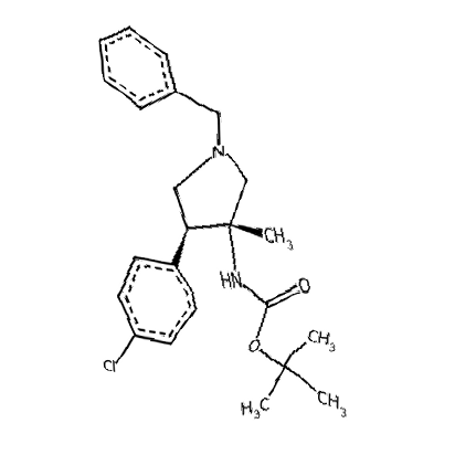 CC(C)(C)OC(=O)N[C@@]1(C)CN(Cc2ccccc2)C[C@@H]1c1ccc(Cl)cc1